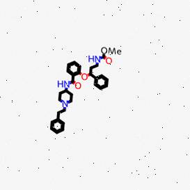 COC(=O)NCCC(Oc1ccccc1C(=O)NC1CCN(CCc2ccccc2)CC1)c1ccccc1